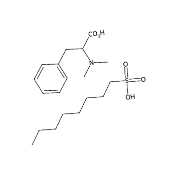 CCCCCCCCS(=O)(=O)O.CN(C)C(Cc1ccccc1)C(=O)O